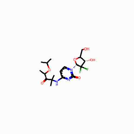 CC(C)OC(C)C(=O)C(C)(C)Nc1ccn([C@@H]2OC(CO)[C@H](O)C2(F)F)c(=O)n1